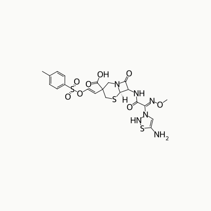 CON=C(C(=O)NC1C(=O)N2CC(C=COS(=O)(=O)c3ccc(C)cc3)(C(=O)O)CS[C@H]12)N1C=C(N)SN1